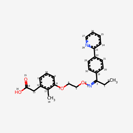 CCC(=NOCCOc1cccc(CC(=O)O)c1C)c1ccc(-c2ccccn2)cc1